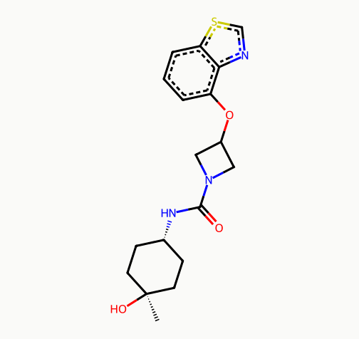 C[C@]1(O)CC[C@H](NC(=O)N2CC(Oc3cccc4scnc34)C2)CC1